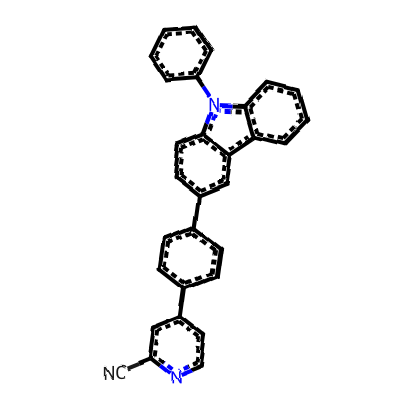 N#Cc1cc(-c2ccc(-c3ccc4c(c3)c3ccccc3n4-c3ccccc3)cc2)ccn1